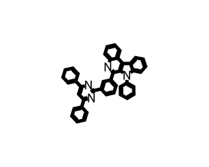 C1=CC(c2cc(-c3ccccc3)nc(-c3cccc(-c4nc5ccccc5c5c6ccccc6n(-c6ccccc6)c45)c3)n2)=CCC1